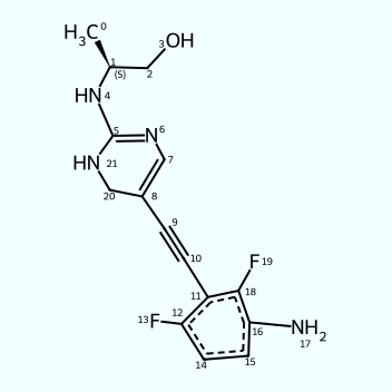 C[C@@H](CO)NC1=NC=C(C#Cc2c(F)ccc(N)c2F)CN1